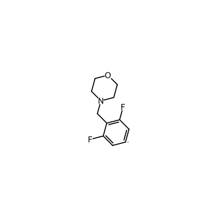 Fc1c[c]cc(F)c1CN1CCOCC1